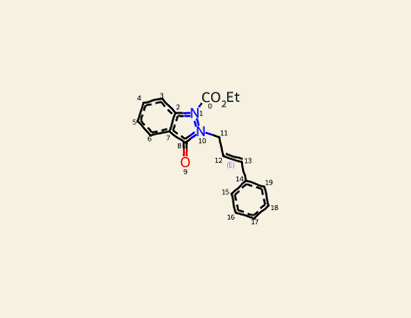 CCOC(=O)n1c2ccccc2c(=O)n1C/C=C/c1ccccc1